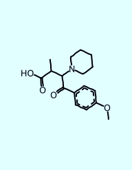 COc1ccc(C(=O)C(C(C)C(=O)O)N2CCCCC2)cc1